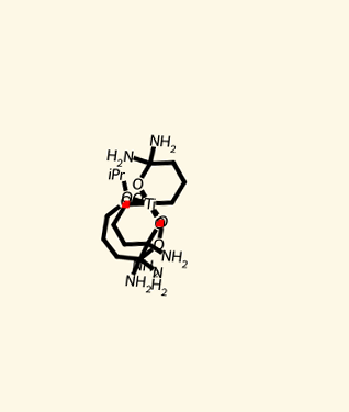 CC(C)[O][Ti]123(=[O])([CH2]CCC(N)(N)[O]1)([CH2]CCC(N)(N)[O]2)[O]CCCC(N)(N)O[O]3